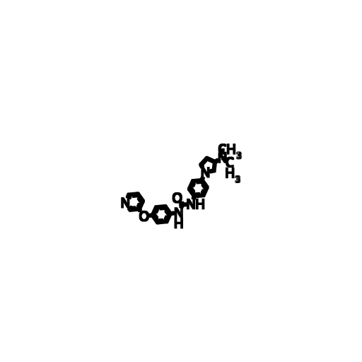 CN(C)C1CCN(c2ccc(NC(=O)Nc3ccc(Oc4cccnc4)cc3)cc2)C1